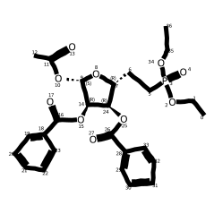 CCOP(=O)(CC[C@H]1O[C@@H](OC(C)=O)[C@H](OC(=O)c2ccccc2)[C@@H]1OC(=O)c1ccccc1)OCC